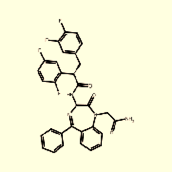 NC(=O)CN1C(=O)C(NC(=O)[C@H](Cc2ccc(F)c(F)c2)c2cc(F)ccc2F)N=C(c2ccccc2)c2ccccc21